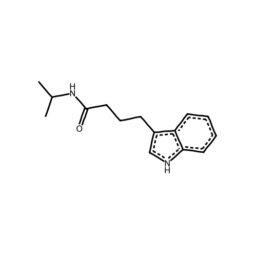 CC(C)NC(=O)CCCc1c[nH]c2ccccc12